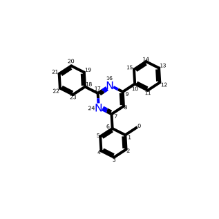 Cc1ccccc1-c1cc(-c2ccccc2)nc(-c2ccccc2)n1